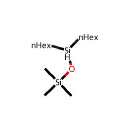 CCCCCC[SiH](CCCCCC)O[Si](C)(C)C